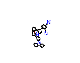 N#Cc1ccc(-c2ccc(-n3c4ccccc4c4cc(-n5c6ccccc6c6ccccc65)ccc43)c(-c3ccccc3)c2)c(C#N)c1